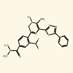 CN(C)C(=O)c1ccc(C2=NC(c3nnc(-c4ccccc4)o3)=C(N)N(C)C2)c(C(F)F)c1